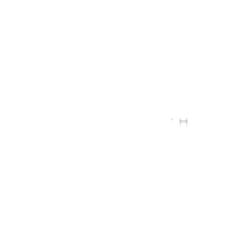 C=C(CCCc1ccccc1)C(=O)OC(C)C